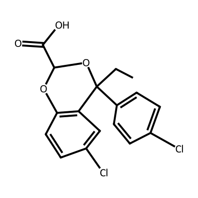 CCC1(c2ccc(Cl)cc2)OC(C(=O)O)Oc2ccc(Cl)cc21